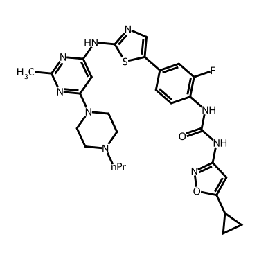 CCCN1CCN(c2cc(Nc3ncc(-c4ccc(NC(=O)Nc5cc(C6CC6)on5)c(F)c4)s3)nc(C)n2)CC1